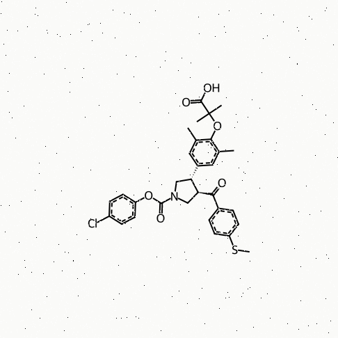 CSc1ccc(C(=O)[C@H]2CN(C(=O)Oc3ccc(Cl)cc3)C[C@@H]2c2cc(C)c(OC(C)(C)C(=O)O)c(C)c2)cc1